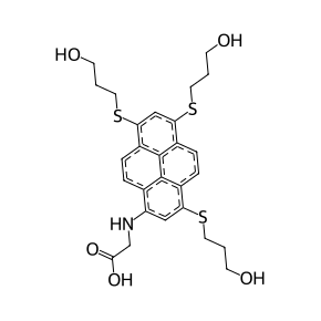 O=C(O)CNc1cc(SCCCO)c2ccc3c(SCCCO)cc(SCCCO)c4ccc1c2c43